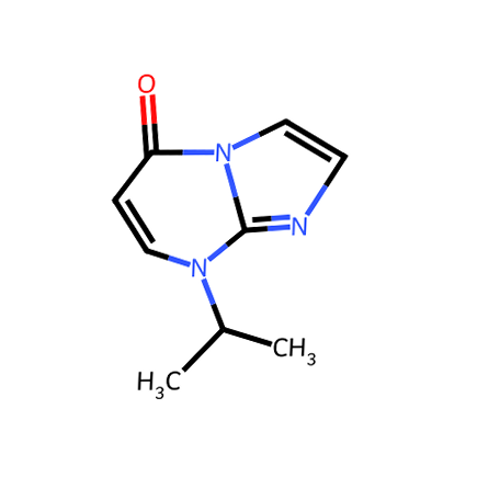 CC(C)n1ccc(=O)n2ccnc12